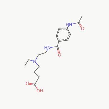 CCN(CCCC(=O)O)CCNC(=O)c1ccc(NC(C)=O)cc1